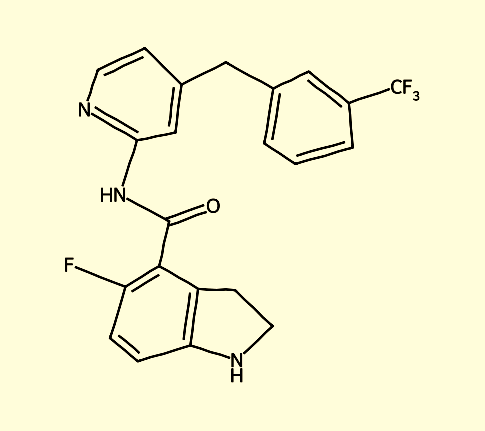 O=C(Nc1cc(Cc2cccc(C(F)(F)F)c2)ccn1)c1c(F)ccc2c1CCN2